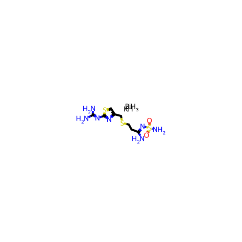 NC(N)=Nc1nc(CSCCC(N)=NS(N)(=O)=O)cs1.[BiH3].[KH]